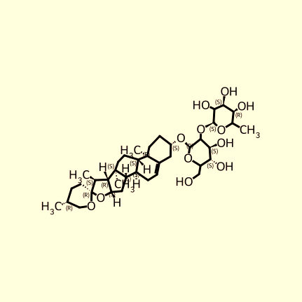 CC1O[C@@H](OC2[C@H](O[C@H]3CC[C@@]4(C)C(=CC[C@H]5[C@@H]6C[C@@H]7O[C@]8(CC[C@@H](C)CO8)[C@@H](C)[C@@H]7[C@@]6(C)CC[C@@H]54)C3)OC(CO)[C@@H](O)[C@@H]2O)C(O)[C@@H](O)[C@H]1O